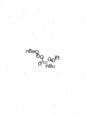 CCCCOOOC(=O)C(CCCC)OOCC